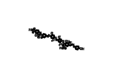 COc1cc(N=Nc2cc(OC)c(N=Nc3c(S(=O)(=O)O)cc4cc(N=Nc5ccc(O)cc5)ccc4c3O)cc2OC)c(OC)cc1N=Nc1ccc(N=Nc2ccc(S(=O)(=O)O)cc2S(=O)(=O)O)c(C)c1